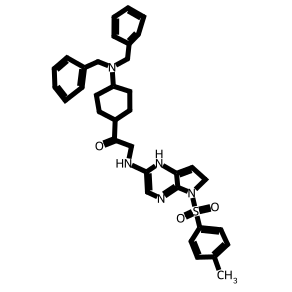 Cc1ccc(S(=O)(=O)N2CC=C3NC(NCC(=O)C4CCC(N(Cc5ccccc5)Cc5ccccc5)CC4)=CN=C32)cc1